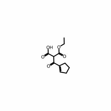 CCOC(=O)C(C(=O)O)C(=O)C1=CCCC1